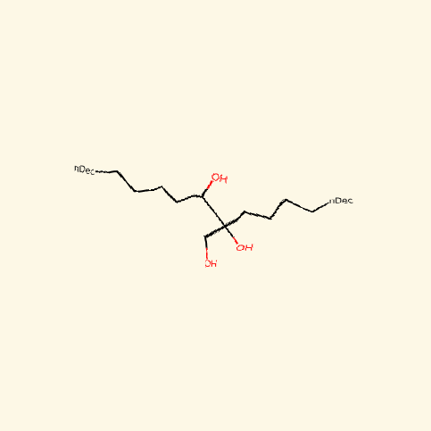 CCCCCCCCCCCCCCC(O)C(O)(CO)CCCCCCCCCCCCCC